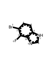 Fc1c(Br)ccc2[nH]cnc12